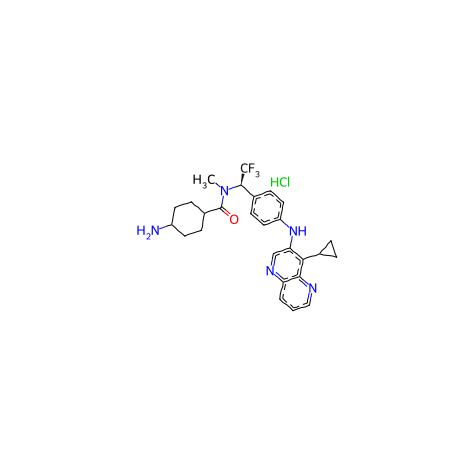 CN(C(=O)C1CCC(N)CC1)[C@H](c1ccc(Nc2cnc3cccnc3c2C2CC2)cc1)C(F)(F)F.Cl